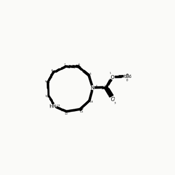 CC(C)(C)OC(=O)N1CCCCCCNCCC1